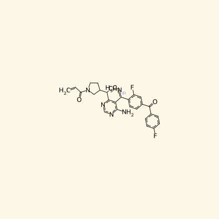 C=CC(=O)N1CCC(C(C)c2ncnc(N)c2/C(=N\C)c2ccc(C(=O)c3ccc(F)cc3)cc2F)C1